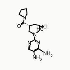 Cl.Cl.Nc1cnc(N2CCC[C@@H](C(=O)N3CCCC3)C2)nc1N